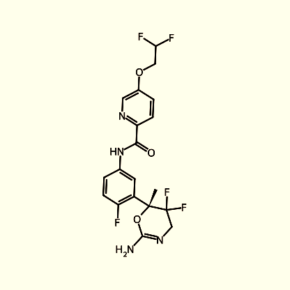 C[C@]1(c2cc(NC(=O)c3ccc(OCC(F)F)cn3)ccc2F)OC(N)=NCC1(F)F